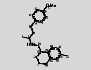 COc1ccc(CCC(C)NCC2CCCc3cc(C)ccc32)cc1